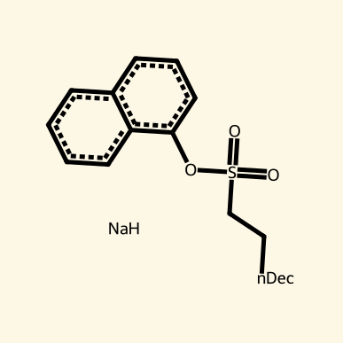 CCCCCCCCCCCCS(=O)(=O)Oc1cccc2ccccc12.[NaH]